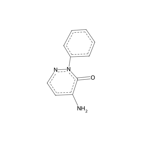 Nc1ccnn(-c2ccccc2)c1=O